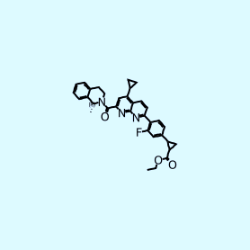 CCOC(=O)C1CC1c1ccc(-c2ccc3c(C4CC4)cc(C(=O)N4CCc5ccccc5[C@H]4C)nc3n2)c(F)c1